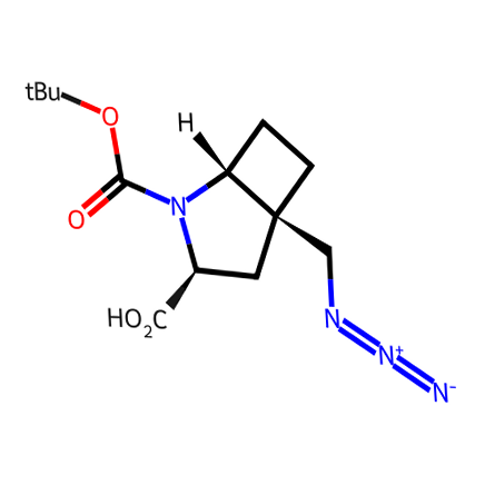 CC(C)(C)OC(=O)N1[C@H](C(=O)O)C[C@@]2(CN=[N+]=[N-])CC[C@@H]12